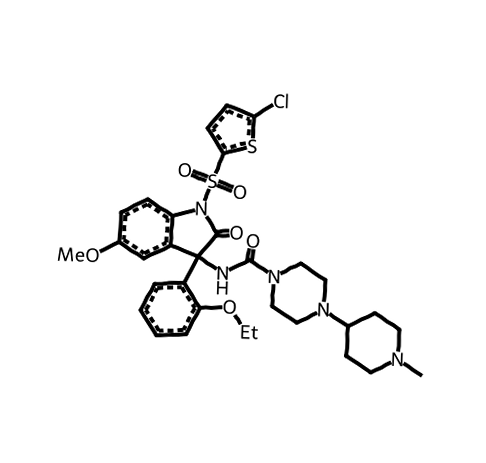 CCOc1ccccc1C1(NC(=O)N2CCN(C3CCN(C)CC3)CC2)C(=O)N(S(=O)(=O)c2ccc(Cl)s2)c2ccc(OC)cc21